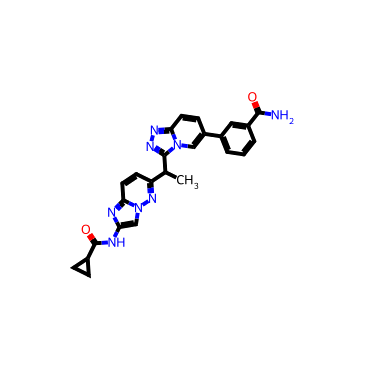 CC(c1ccc2nc(NC(=O)C3CC3)cn2n1)c1nnc2ccc(-c3cccc(C(N)=O)c3)cn12